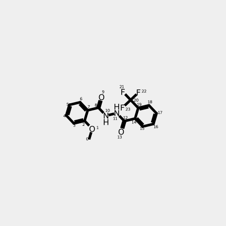 COc1ccccc1C(=O)NNC(=O)c1ccccc1C(F)(F)F